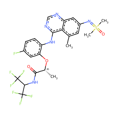 Cc1cc(N=S(C)(C)=O)cc2ncnc(Nc3ccc(F)cc3O[C@H](C)C(=O)NC(C(F)(F)F)C(F)(F)F)c12